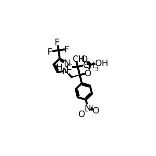 CC(C)(C)[C@](Cn1ccc(C(F)(F)F)n1)(OC(=O)O)c1ccc([N+](=O)[O-])cc1